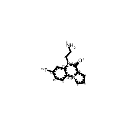 NCCn1c(=O)c2cccn2c2ccc(F)cc21